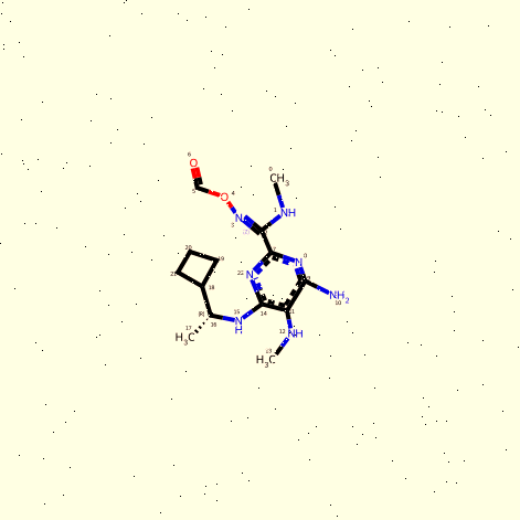 CN/C(=N\OC=O)c1nc(N)c(NC)c(N[C@H](C)C2CCC2)n1